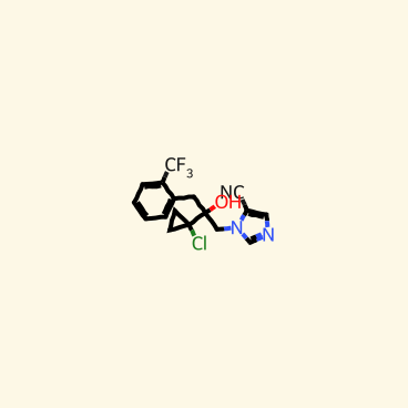 N#Cc1cncn1CC(O)(Cc1ccccc1C(F)(F)F)C1(Cl)CC1